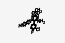 CS(=O)(=O)c1nc(N)c(-c2ccc(F)c(Cl)c2)c(N2CC3(CNC3)C2)n1